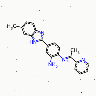 C/C(=N\c1ccc(-c2nc3ccc(C)cc3[nH]2)cc1N)c1ccccn1